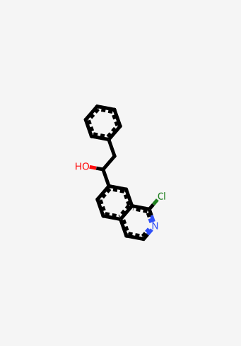 OC(Cc1ccccc1)c1ccc2ccnc(Cl)c2c1